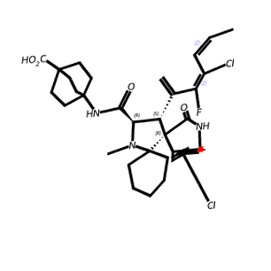 C=C(/C(F)=C(Cl)\C=C/C)[C@H]1[C@H](C(=O)NC23CCC(C(=O)O)(CC2)CC3)N(C)C2(CCCCC2)[C@@]12C(=O)Nc1cc(Cl)ccc12